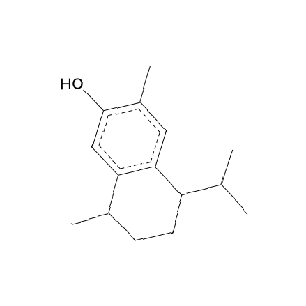 Cc1cc2c(cc1O)C(C)CCC2C(C)C